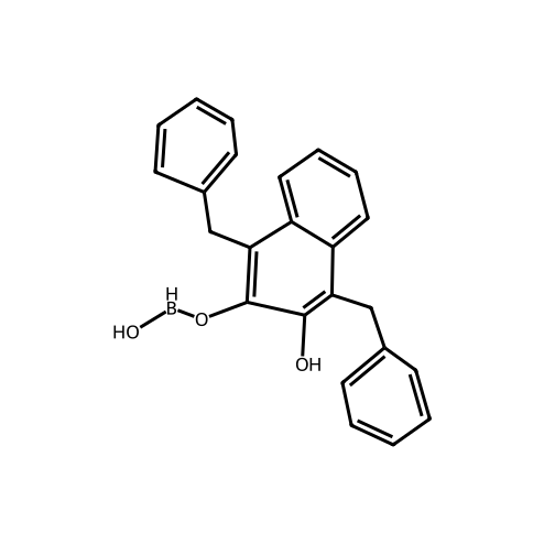 OBOc1c(O)c(Cc2ccccc2)c2ccccc2c1Cc1ccccc1